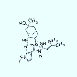 C/C(N)=C/C(=N)Nc1nc(NC2C(C)CC3CC2CC(C)(O)C3)nc2c1ccn2SI